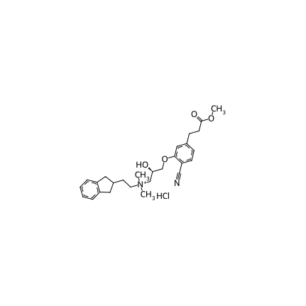 COC(=O)CCc1ccc(C#N)c(OC[C@H](O)C[N+](C)(C)CCC2Cc3ccccc3C2)c1.Cl